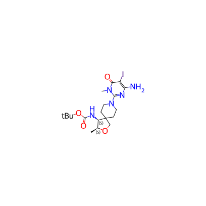 C[C@@H]1OCC2(CCN(c3nc(N)c(I)c(=O)n3C)CC2)[C@@H]1NC(=O)OC(C)(C)C